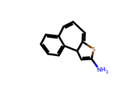 NC1=CC2C(=CC=Cc3ccccc32)S1